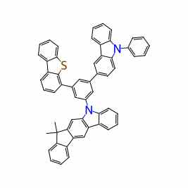 CC1(C)c2ccccc2-c2cc3c4ccccc4n(-c4cc(-c5ccc6c(c5)c5ccccc5n6-c5ccccc5)cc(-c5cccc6c5sc5ccccc56)c4)c3cc21